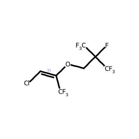 FC(F)(F)/C(=C\Cl)OCC(F)(C(F)(F)F)C(F)(F)F